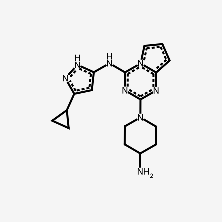 NC1CCN(c2nc(Nc3cc(C4CC4)n[nH]3)n3cccc3n2)CC1